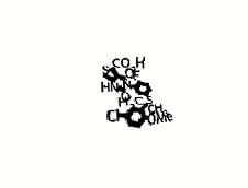 COc1ccc(Cl)cc1C(C)(C)Sc1ccc(F)c(-n2c(=O)[nH]c3csc(C(=O)O)c3c2=O)c1